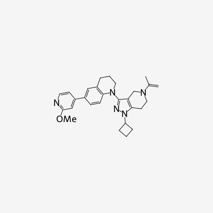 C=C(C)N1CCc2c(c(N3CCCc4cc(-c5ccnc(OC)c5)ccc43)nn2C2CCC2)C1